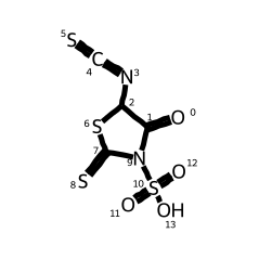 O=C1C(N=C=S)SC(=S)N1S(=O)(=O)O